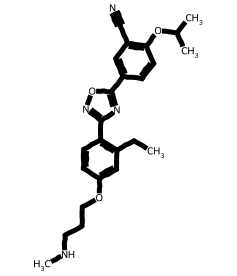 CCc1cc(OCCCNC)ccc1-c1noc(-c2ccc(OC(C)C)c(C#N)c2)n1